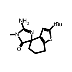 CN1C(=O)C2(CCCc3sc(C(C)(C)C)cc32)N=C1N